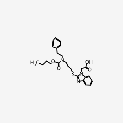 CCCCOC(=O)N(CCCSc1nc2ccccc2n1CC(=O)O)CCc1ccccc1